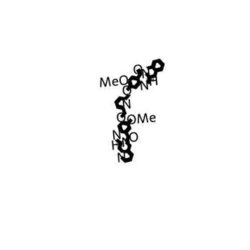 COc1cc2c(cc1OCc1cccc(COc3cc4c(cc3OC)C(=O)N3Cc5cccnc5C[C@H]3C=N4)n1)N=C[C@@H]1Cc3ccccc3CN1C2=O